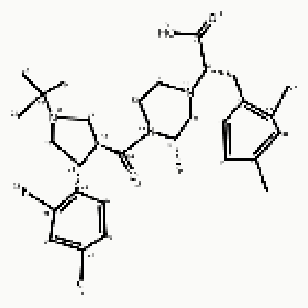 Cc1ccc(C[C@@H](C(=O)O)N2CCN(C(=O)[C@@H]3CN(C(C)(C)C)C[C@H]3c3ccc(Cl)cc3F)[C@@H](C)C2)c(C)c1